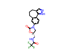 O=C1O[C@@H](CNC(=O)C(F)(F)F)CN1c1ccc2c(c1)CCCc1cn[nH]c1-2